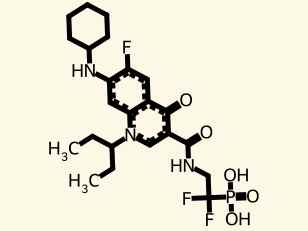 CCC(CC)n1cc(C(=O)NCC(F)(F)P(=O)(O)O)c(=O)c2cc(F)c(NC3CCCCC3)cc21